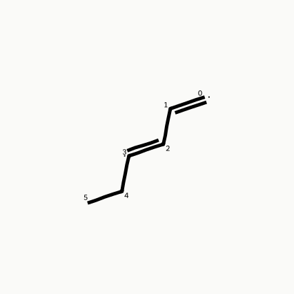 [CH]=C/C=[C]/CC